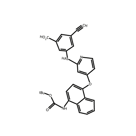 C#Cc1cc([AsH]c2cc(Oc3ccc(NC(=O)OC(C)(C)C)c4ccccc34)ccn2)cc(C(=O)O)c1